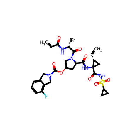 C=CC(=O)N[C@@H](C(=O)N1C[C@H](OC(=O)N2Cc3cccc(F)c3C2)CC1C(=O)N[C@]1(C(=O)NS(=O)(=O)C2CC2)C[C@H]1C=C)C(C)C